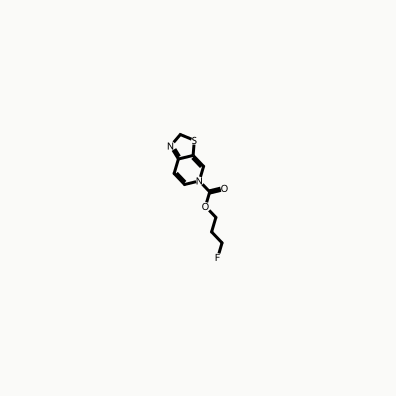 O=C(OCCCF)N1C=CC2=NCSC2=C1